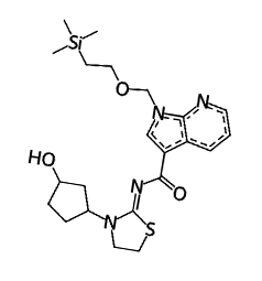 C[Si](C)(C)CCOCn1cc(C(=O)/N=C2\SCCN2C2CCC(O)C2)c2cccnc21